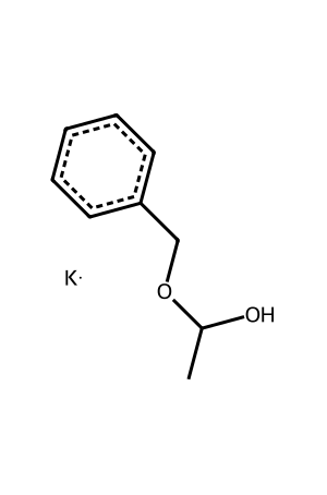 CC(O)OCc1ccccc1.[K]